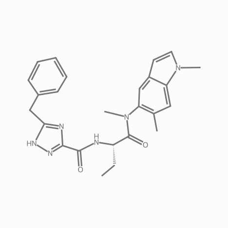 CC[C@H](NC(=O)c1n[nH]c(Cc2ccccc2)n1)C(=O)N(C)c1cc2ccn(C)c2cc1C